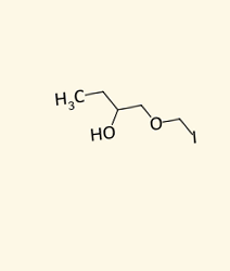 CCC(O)COCI